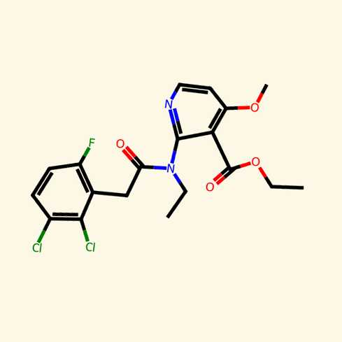 CCOC(=O)c1c(OC)ccnc1N(CC)C(=O)Cc1c(F)ccc(Cl)c1Cl